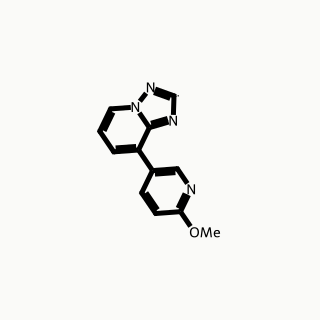 COc1ccc(-c2cccn3n[c]nc23)cn1